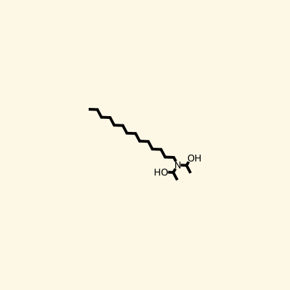 CCCCCCCCCCCCCCN(C(C)O)C(C)O